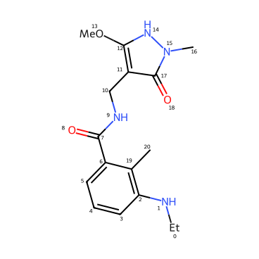 CCNc1cccc(C(=O)NCc2c(OC)[nH]n(C)c2=O)c1C